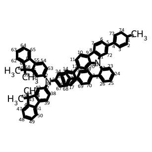 CC1C=CC(c2ccc3c4ccc(-c5ccccc5)cc4n(-c4ccccc4-c4ccc(-c5ccc(N(c6ccc7c(c6)C(C)(C)c6ccccc6-7)c6ccc7c(c6)C(C)(C)c6ccccc6-7)cc5)cc4)c3c2)=CC1